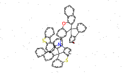 c1ccc2c(c1)Sc1cccc(N(c3ccc4c(c3)C3(c5ccccc5-c5ccccc53)c3ccc5ccccc5c3O4)c3cccc4sc5ccccc5c34)c1C21c2ccccc2-c2c1ccc1ccccc21